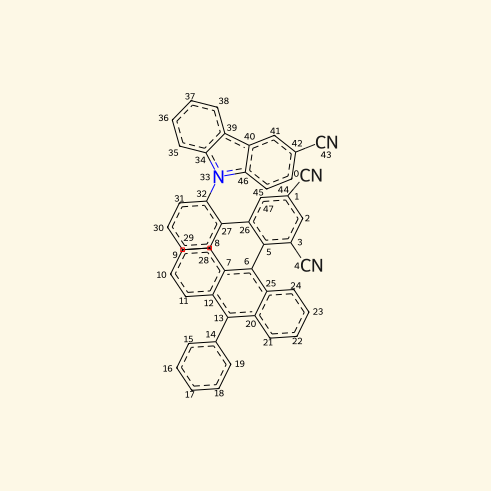 N#Cc1cc(C#N)c(-c2c3ccccc3c(-c3ccccc3)c3ccccc23)c(-c2ccccc2-n2c3ccccc3c3cc(C#N)ccc32)c1